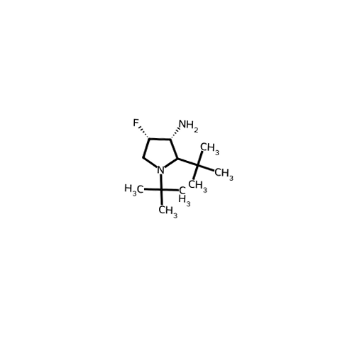 CC(C)(C)C1[C@@H](N)[C@@H](F)CN1C(C)(C)C